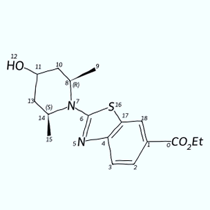 CCOC(=O)c1ccc2nc(N3[C@H](C)CC(O)C[C@@H]3C)sc2c1